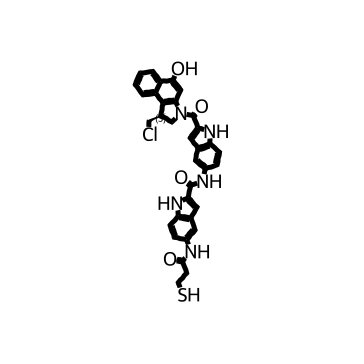 O=C(CCS)Nc1ccc2[nH]c(C(=O)Nc3ccc4[nH]c(C(=O)N5C[C@@H](CCl)c6c5cc(O)c5ccccc65)cc4c3)cc2c1